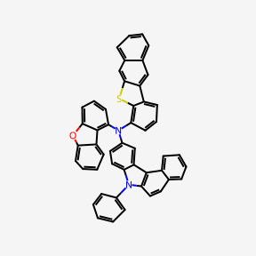 c1ccc(-n2c3ccc(N(c4cccc5c4sc4cc6ccccc6cc45)c4cccc5oc6ccccc6c45)cc3c3c4ccccc4ccc32)cc1